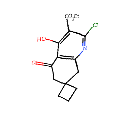 CCOC(=O)c1c(Cl)nc2c(c1O)C(=O)CC1(CCC1)C2